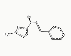 CC[C@@H](/N=C/c1ccccc1)c1ccc(C)o1